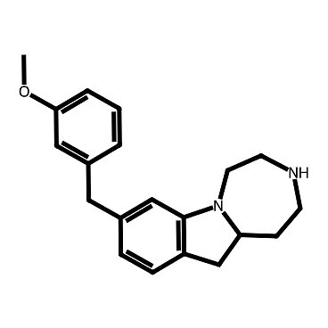 COc1cccc(Cc2ccc3c(c2)N2CCNCCC2C3)c1